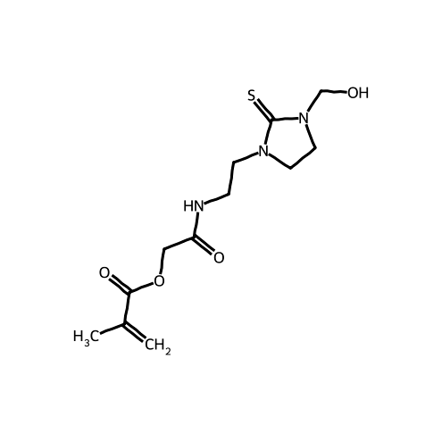 C=C(C)C(=O)OCC(=O)NCCN1CCN(CO)C1=S